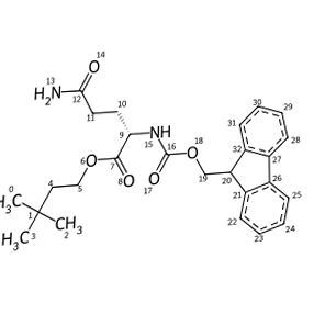 CC(C)(C)CCOC(=O)[C@H](CCC(N)=O)NC(=O)OCC1c2ccccc2-c2ccccc21